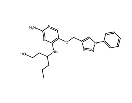 CCCC(CCO)Nc1nc(N)ncc1OCc1cn(-c2ccccc2)nn1